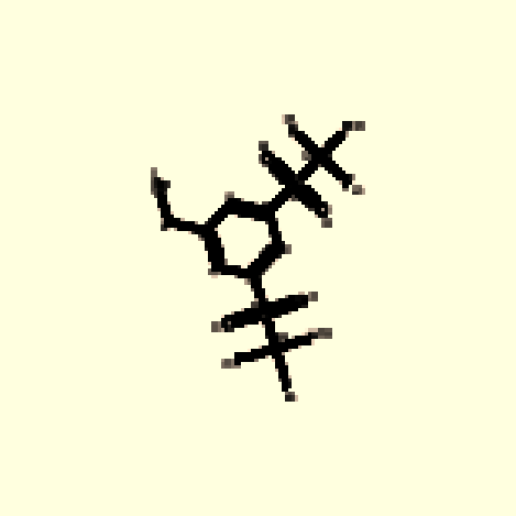 O=S(=O)(c1cc(CBr)cc(S(=O)(=O)C(F)(F)F)c1)C(F)(F)F